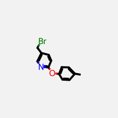 Cc1ccc(Oc2ccc(CBr)cn2)cc1